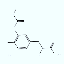 CCNC(=O)Oc1cc(C[C@H](N)C(=O)OC)ccc1O.Cl